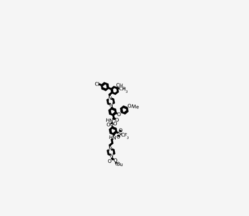 COc1ccc(Oc2cc(N3CCN(CC4=C(c5ccc(Cl)cc5)CC(C)(C)CC4)CC3)ccc2C(=O)NS(=O)(=O)c2ccc(NCCCN3CCN(C(=O)OC(C)(C)C)CC3)c(S(=O)(=O)C(F)(F)F)c2)cc1